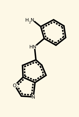 Nc1ccccc1Nc1ccc2ncoc2c1